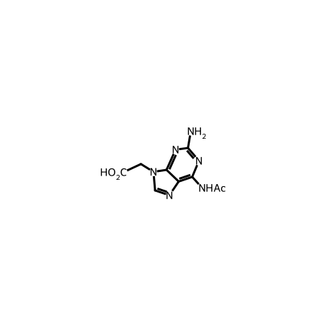 CC(=O)Nc1nc(N)nc2c1ncn2CC(=O)O